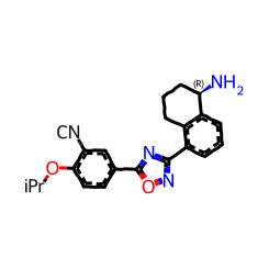 [C-]#[N+]c1cc(-c2nc(-c3cccc4c3CCC[C@H]4N)no2)ccc1OC(C)C